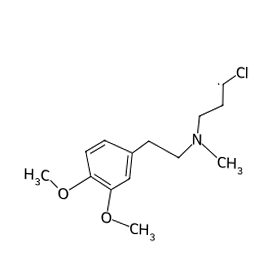 COc1ccc(CCN(C)CC[CH]Cl)cc1OC